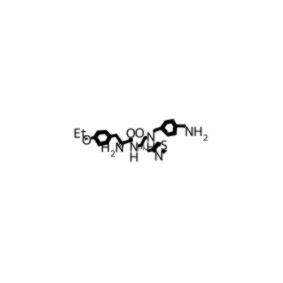 CCOc1ccc(C[C@@H](N)C(=O)N[C@@H](Cc2cscn2)C(=O)NCc2ccc(CN)cc2)cc1